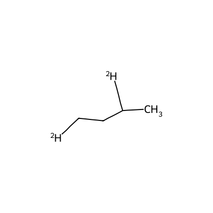 [2H]CCC([2H])C